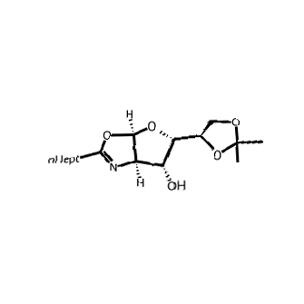 CCCCCCCC1=N[C@H]2[C@@H](O1)O[C@H]([C@H]1COC(C)(C)O1)[C@@H]2O